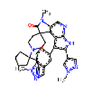 CN1C(=O)C2(CCN(C3(CC#N)CCCC3)CC2)c2c1cnc1[nH]c(-c3cnn(C)c3)c(-c3ccc4c(cnn4C)c3)c21